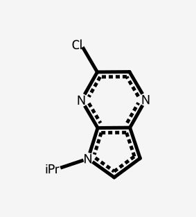 CC(C)n1ccc2ncc(Cl)nc21